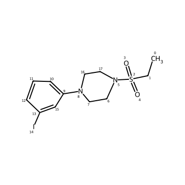 CCS(=O)(=O)N1CCN(c2cccc(I)c2)CC1